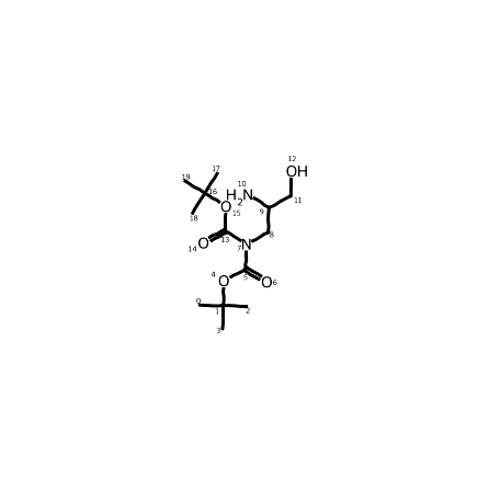 CC(C)(C)OC(=O)N(CC(N)CO)C(=O)OC(C)(C)C